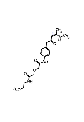 CCCNC(=O)COCC(=O)Nc1ccc(CC(=O)/C=C(/C)NC)cc1